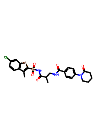 Cc1c(S(=O)(=O)NC(=O)C(C)CNC(=O)c2ccc(N3CCCCC3=O)cc2)sc2cc(Cl)ccc12